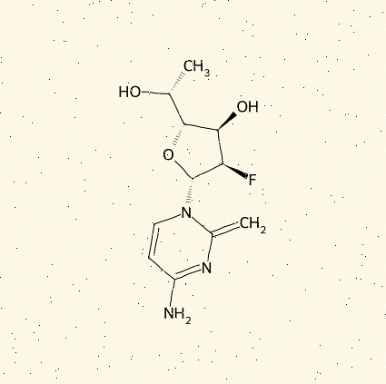 C=C1N=C(N)C=CN1[C@@H]1O[C@H]([C@@H](C)O)[C@@H](O)[C@H]1F